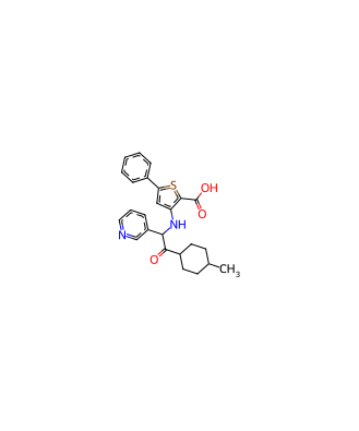 CC1CCC(C(=O)C(Nc2cc(-c3ccccc3)sc2C(=O)O)c2cccnc2)CC1